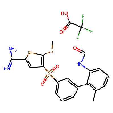 CSc1sc(C(=N)N)cc1S(=O)(=O)c1cccc(-c2c(C)cccc2NC=O)c1.O=C(O)C(F)(F)F